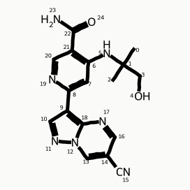 CC(C)(CO)Nc1cc(-c2cnn3cc(C#N)cnc23)ncc1C(N)=O